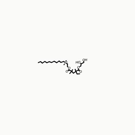 CCCCCCCCCCCC[N+](C)(C)CCOC(=O)C(C)(C)CC(C)(CC)C(=O)OCC(O)CO